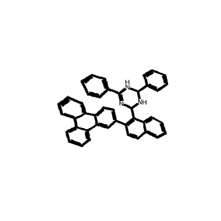 c1ccc(C2=NC(c3c(-c4ccc5c6ccccc6c6ccccc6c5c4)ccc4ccccc34)NC(c3ccccc3)N2)cc1